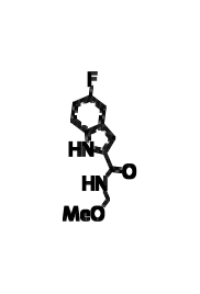 COCNC(=O)c1cc2cc(F)ccc2[nH]1